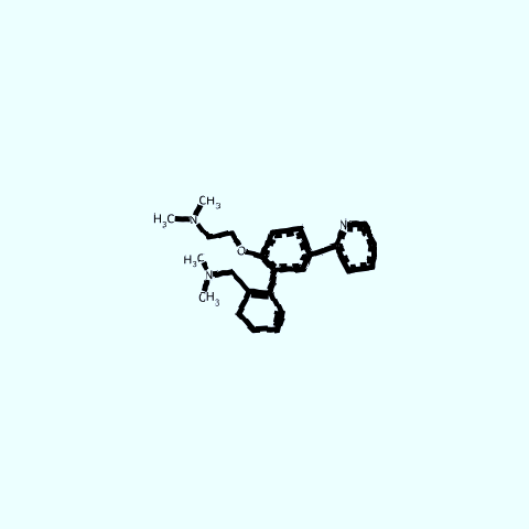 CN(C)CCOc1ccc(-c2ccccn2)cc1C1=C(CN(C)C)[CH]CC=C1